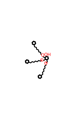 Oc1ccc(COCCCCCCCc2ccccc2)c(COCCCCCCCc2ccccc2)c1COCCCCCCCc1ccccc1